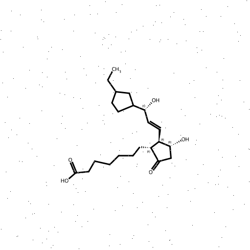 CCC1CCC([C@H](O)C=C[C@H]2[C@H](O)CC(=O)[C@@H]2CCCCCCC(=O)O)C1